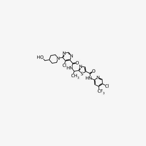 CC(NC(=O)c1ncnc(N2CCC(CO)CC2)c1Cl)c1ncc(C(=O)Nc2cc(C(F)(F)F)c(Cl)cn2)s1